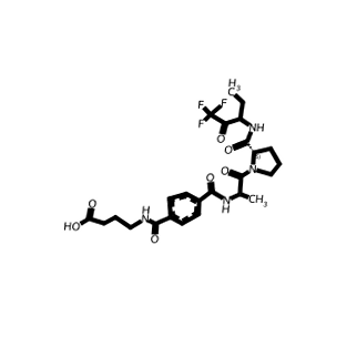 CCC(NC(=O)[C@@H]1CCCN1C(=O)C(C)NC(=O)c1ccc(C(=O)NCCCC(=O)O)cc1)C(=O)C(F)(F)F